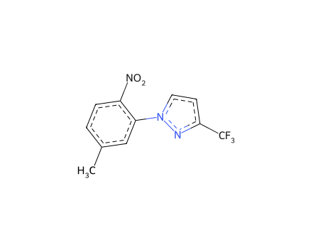 Cc1ccc([N+](=O)[O-])c(-n2ccc(C(F)(F)F)n2)c1